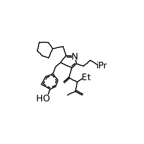 C=C(C)C(CC)C(=C)C1=C(CCC(C)C)N=C(CC2CCCCC2)C1Cc1ccc(O)cc1